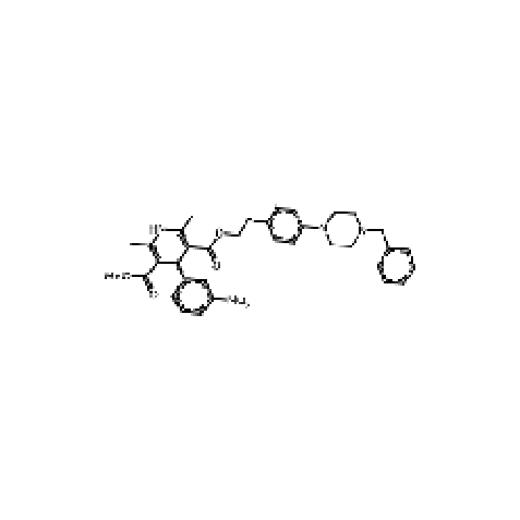 COC(=O)C1=C(C)NC(C)=C(C(=O)OCCc2ccc(N3CCN(Cc4ccccc4)CC3)cc2)C1c1cccc([N+](=O)[O-])c1